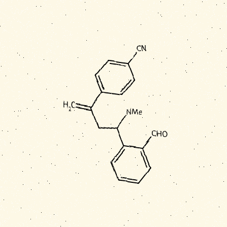 C=C(CC(NC)c1ccccc1C=O)c1ccc(C#N)cc1